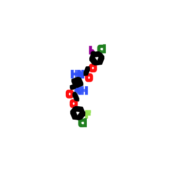 CC1(NC(=O)COc2ccc(Cl)c(F)c2)C=C(NC(=O)COc2ccc(Cl)c(I)c2)C1